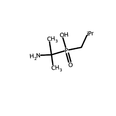 CC(C)CP(=O)(O)C(C)(C)N